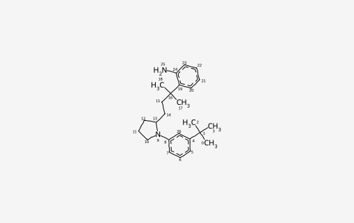 CC(C)(C)c1cccc(N2CCCC2CCC(C)(C)c2ccccc2N)c1